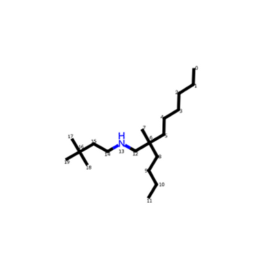 CCCCCCC(C)(CCCC)CNCCC(C)(C)C